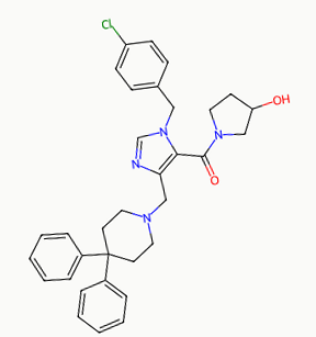 O=C(c1c(CN2CCC(c3ccccc3)(c3ccccc3)CC2)ncn1Cc1ccc(Cl)cc1)N1CCC(O)C1